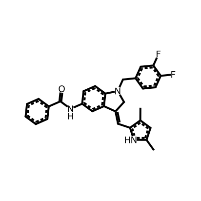 Cc1cc(C)c(C=C2CN(Cc3ccc(F)c(F)c3)c3ccc(NC(=O)c4ccccc4)cc32)[nH]1